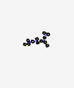 c1ccc2c(c1)sc1cc3c(cc12)c1cc(-c2cccc4c2c2ccccc2n4-c2ccc(-n4c5ccccc5c5c6c(ccc54)sc4ccccc46)cc2)ccc1n3-c1ccc(-n2c3ccccc3c3ccccc32)cc1